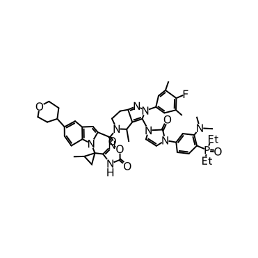 CCP(=O)(CC)c1ccc(-n2ccn(-c3c4c(nn3-c3cc(C)c(F)c(C)c3)CCN(C(=O)c3cc5cc(C6CCOCC6)ccc5n3C3(c5noc(=O)[nH]5)CC3C)C4C)c2=O)cc1N(C)C